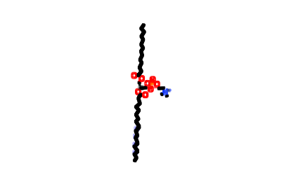 CC/C=C/C=C/C=C/C=C/CCCCCCCC(=O)O[C@H](COC(=O)CCCCCCCCCCCCC)COP(=O)([O-])OCC[N+](C)(C)C